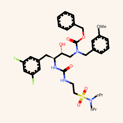 CCCN(CCC)S(=O)(=O)CCNC(=O)N[C@@H](Cc1cc(F)cc(F)c1)[C@H](O)CN(Cc1cccc(OC)c1)C(=O)OCc1ccccc1